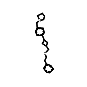 c1ccc(CCOCC2CC(c3ccc(CN4CCCC4)cc3)C2)cc1